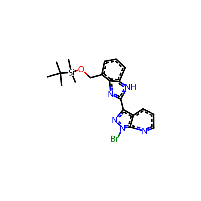 CC(C)(C)[Si](C)(C)OCc1cccc2[nH]c(-c3nn(Br)c4ncccc34)nc12